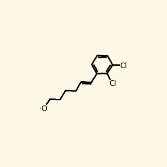 [O]CCCCC=Cc1cccc(Cl)c1Cl